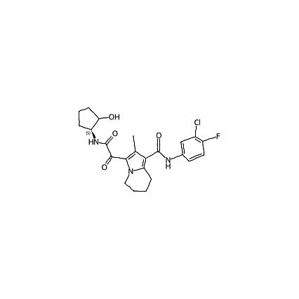 Cc1c(C(=O)Nc2ccc(F)c(Cl)c2)c2n(c1C(=O)C(=O)N[C@H]1CCCC1O)CCCC2